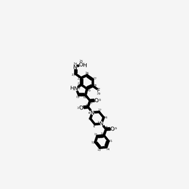 O=C(C(=O)N1CCN(C(=O)c2ccccc2)CC1)c1c[nH]c2c(/C=N\O)ccc(F)c12